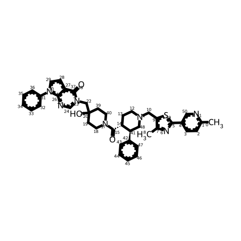 Cc1ccc(-c2nc(C)c(CN3CC[C@@H](C(=O)N4CCC(O)(Cn5cnc6c(ccn6-c6ccccc6)c5=O)CC4)[C@H](c4ccccc4)C3)s2)cn1